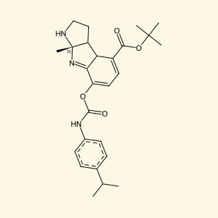 CC(C)c1ccc(NC(=O)OC2=CC=C(C(=O)OC(C)(C)C)C3C2=N[C@]2(C)NCCC32)cc1